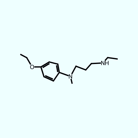 CCNCCCN(C)c1ccc(OCC)cc1